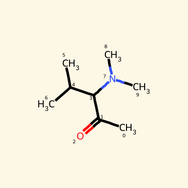 CC(=O)C(C(C)C)N(C)C